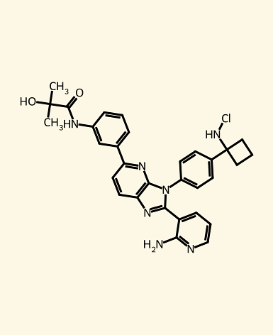 CC(C)(O)C(=O)Nc1cccc(-c2ccc3nc(-c4cccnc4N)n(-c4ccc(C5(NCl)CCC5)cc4)c3n2)c1